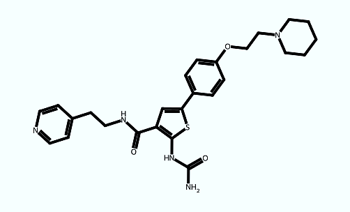 NC(=O)Nc1sc(-c2ccc(OCCN3CCCCC3)cc2)cc1C(=O)NCCc1ccncc1